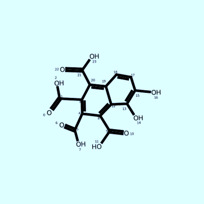 O=C(O)c1c(C(=O)O)c(C(=O)O)c2c(O)c(O)ccc2c1C(=O)O